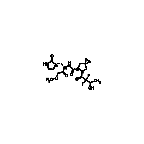 CC(O)C(F)(F)C(=O)N1CC2(CC2)C[C@H]1C(=O)N[C@@H](C[C@@H]1CCNC1=O)C(=O)COC(F)(F)F